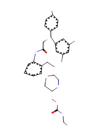 O=C(C[C@@H](c1ccc(F)cc1)c1cc(F)cc(F)c1)Nc1cccc(F)c1CC[C@@H]1CN[C@H](COC(=O)NCC(F)(F)F)CO1